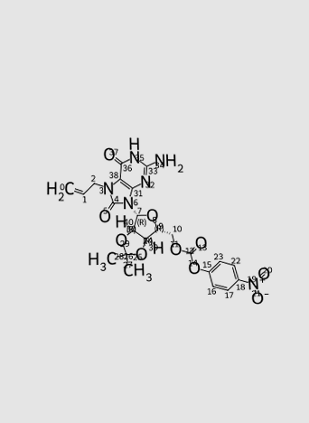 C=CCn1c(=O)n([C@@H]2O[C@H](COC(=O)Oc3ccc([N+](=O)[O-])cc3)[C@H]3OC(C)(C)O[C@H]32)c2nc(N)[nH]c(=O)c21